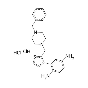 Cl.Cl.Nc1ccc(N)c(-c2ccsc2CN2CCN(Cc3ccccc3)CC2)c1